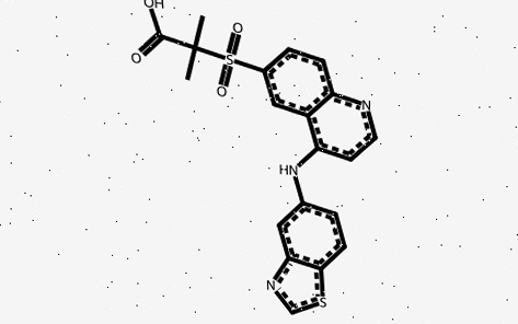 CC(C)(C(=O)O)S(=O)(=O)c1ccc2nccc(Nc3ccc4scnc4c3)c2c1